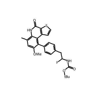 COc1cc(C)c2[nH]c(=O)c3sccc3c2c1-c1ccc(CC(F)NC(=O)OC(C)(C)C)cc1